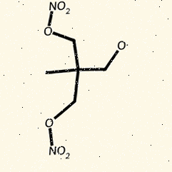 CC(C[O])(CO[N+](=O)[O-])CO[N+](=O)[O-]